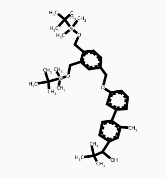 Cc1cc(C(O)C(C)(C)C)ccc1-c1cccc(OCc2ccc(CO[Si](C)(C)C(C)(C)C)c(CO[Si](C)(C)C(C)(C)C)c2)c1